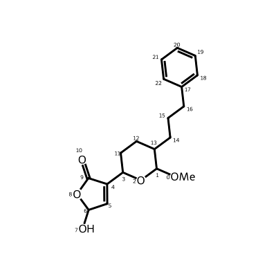 COC1OC(C2=CC(O)OC2=O)CCC1CCCc1ccccc1